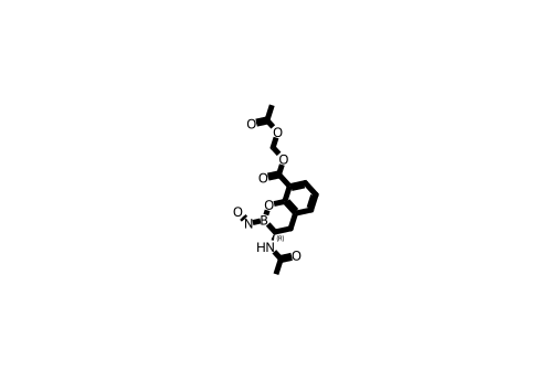 CC(=O)N[C@H]1Cc2cccc(C(=O)OCOC(C)=O)c2OB1N=O